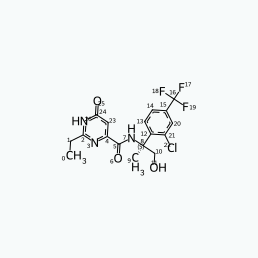 CCc1nc(C(=O)N[C@](C)(CO)c2ccc(C(F)(F)F)cc2Cl)cc(=O)[nH]1